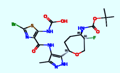 Cc1n[nH]c([C@@H]2CC[C@@H](NC(=O)OC(C)(C)C)[C@H](F)CO2)c1NC(=O)c1nc(Br)sc1NC(=O)O